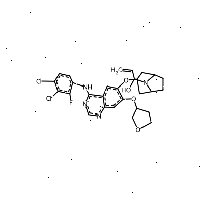 C=CC(O)N1C2CCC1CC(Oc1cc3c(Nc4ccc(Cl)c(Cl)c4F)ncnc3cc1OC1CCOC1)C2